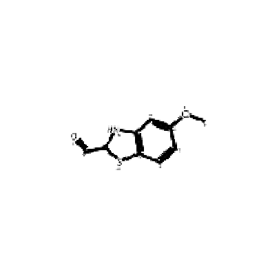 COc1ccc2c(c1)NC(C=O)S2